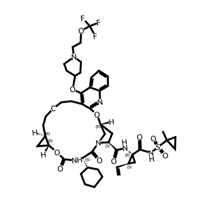 C=C[C@@H]1C[C@]1(NC(=O)[C@@H]1C[C@@H]2CN1C(=O)[C@H](C1CCCCC1)NC(=O)O[C@@H]1C[C@H]1CCCCCc1c(nc3ccccc3c1OC1CCN(CCOC(F)(F)F)CC1)O2)C(=O)NS(=O)(=O)C1(C)CC1